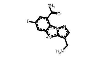 NCc1cnn2c1[nH]c1cc(F)cc(C(N)=O)c12